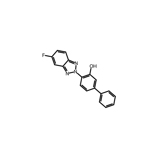 Oc1cc(-c2ccccc2)ccc1-n1nc2ccc(F)cc2n1